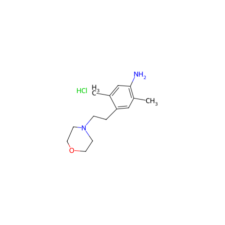 Cc1cc(CCN2CCOCC2)c(C)cc1N.Cl